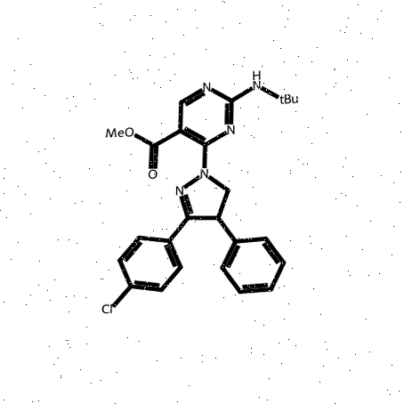 COC(=O)c1cnc(NC(C)(C)C)nc1N1CC(c2ccccc2)C(c2ccc(Cl)cc2)=N1